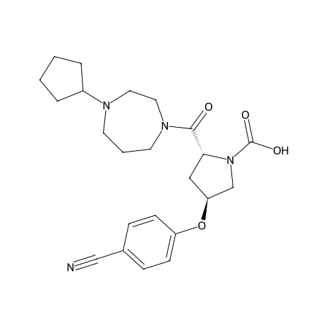 N#Cc1ccc(O[C@H]2C[C@H](C(=O)N3CCCN(C4CCCC4)CC3)N(C(=O)O)C2)cc1